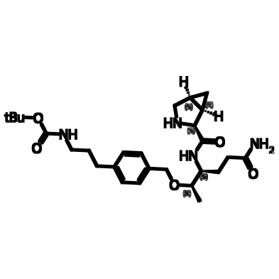 C[C@@H](OCc1ccc(CCCNC(=O)OC(C)(C)C)cc1)[C@H](CCC(N)=O)NC(=O)[C@H]1NC[C@H]2C[C@H]21